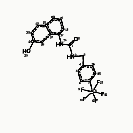 O=C(NCc1ccc(S(F)(F)(F)(F)F)cc1)Nc1cccc2ccc(O)cc12